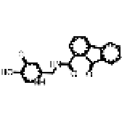 O=C(NCc1cc(=O)c(O)c[nH]1)c1cccc2c1C(=O)c1ccccc1-2